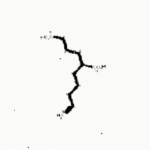 C=CCCC[C@@H](CCCC(=O)O)C(=O)O